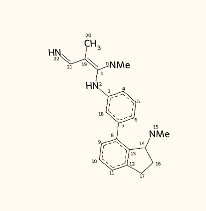 CN/C(Nc1cccc(-c2cccc3c2C(NC)CC3)c1)=C(\C)C=N